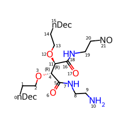 CCCCCCCCCCCCO[C@@H](C(=O)NCCN)[C@@H](OCCCCCCCCCCCC)C(=O)NCCN=O